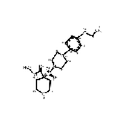 O=C(NO)C1(S(=O)(=O)N2CCN(c3ccc(OCC(F)(F)F)cc3)CC2)CCOCC1